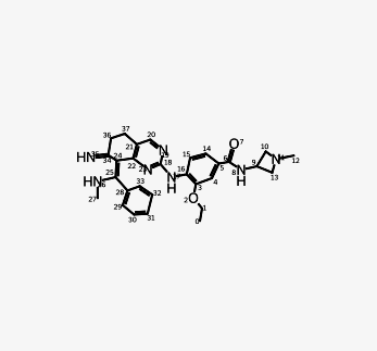 CCOc1cc(C(=O)NC2CN(C)C2)ccc1Nc1ncc2c(n1)/C(=C(/NC)c1ccccc1)C(=N)CC2